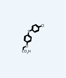 O=C(O)COc1ccc(Sc2ccc(Cl)cc2)cc1